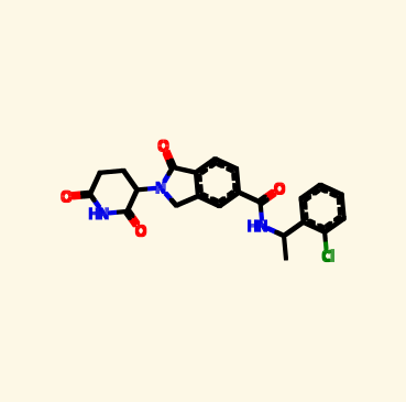 CC(NC(=O)c1ccc2c(c1)CN(C1CCC(=O)NC1=O)C2=O)c1ccccc1Cl